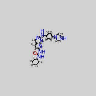 Cc1cc(NC(=O)NC2CCCCC2)nc2nc(Nc3ccc(N4CCNCC4)cc3)ncc12